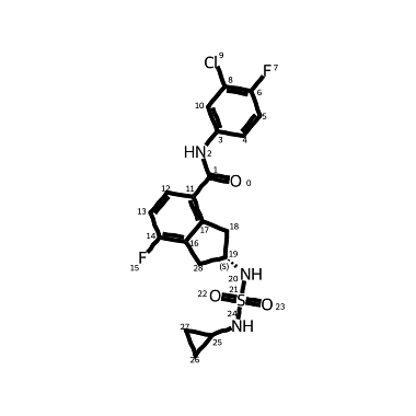 O=C(Nc1ccc(F)c(Cl)c1)c1ccc(F)c2c1C[C@H](NS(=O)(=O)NC1CC1)C2